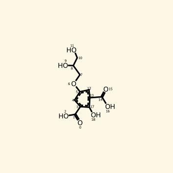 O=C(O)c1cc(OCC(O)CO)cc(C(=O)O)c1O